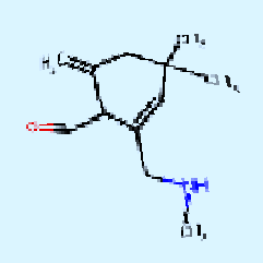 C=C1CC(C)(C)C=C(CNC)C1C=O